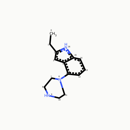 CCc1cc2c(N3CCNCC3)cccc2[nH]1